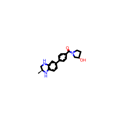 C[C@H]1CNc2cc(-c3ccc(C(=O)N4CC[C@H](O)C4)cc3)ccc2N1